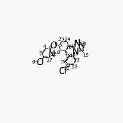 COc1ccc(O[C@H]2CC[C@H](c3nnc(C)n3-c3ccc(Cl)cc3)CC2)nc1